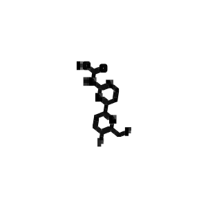 O=C(O)Nc1nccc(-c2ccc(F)c(CF)n2)n1